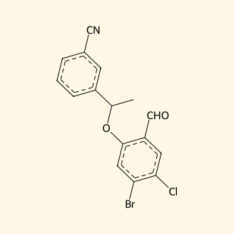 CC(Oc1cc(Br)c(Cl)cc1C=O)c1cccc(C#N)c1